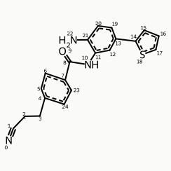 N#C[CH]Cc1ccc(C(=O)Nc2cc(-c3cccs3)ccc2N)cc1